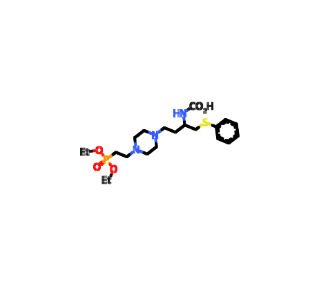 CCOP(=O)(CCN1CCN(CCC(CSc2ccccc2)NC(=O)O)CC1)OCC